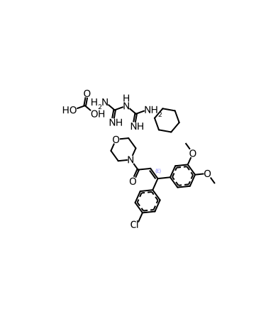 C1CCCCC1.COc1ccc(/C(=C/C(=O)N2CCOCC2)c2ccc(Cl)cc2)cc1OC.N=C(N)NC(=N)N.O=C(O)O